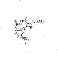 CC(=O)OCCC1NC(=O)C1C(C)OOC(=O)Cc1ccc([N+](=O)[O-])cc1